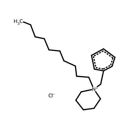 CCCCCCCCCC[N+]1(Cc2ccccc2)CCCCC1.[Cl-]